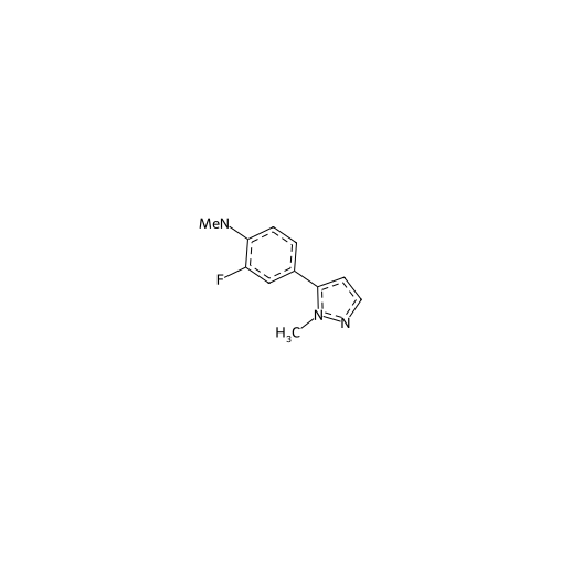 CNc1ccc(-c2ccnn2C)cc1F